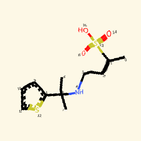 CC(CCNC(C)(C)c1cccs1)S(=O)(=O)O